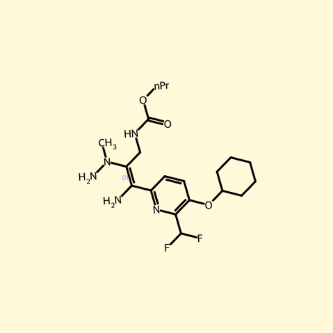 CCCOC(=O)NC/C(=C(/N)c1ccc(OC2CCCCC2)c(C(F)F)n1)N(C)N